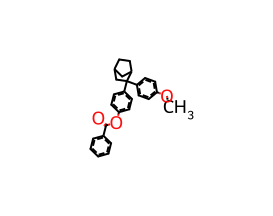 COc1ccc(C2(c3ccc(OC(=O)c4ccccc4)cc3)CC3CCC2C3)cc1